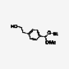 CCOC(OC)c1ccc(CCO)cc1